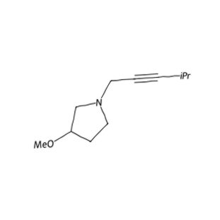 COC1CCN(CC#CC(C)C)C1